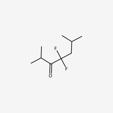 CC(C)CC(F)(F)C(=O)C(C)C